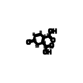 O=C1C=CC(C(=O)O)=C(C(=O)O)C1